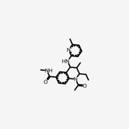 CCC1C(C)C(Nc2cccc(C)n2)c2cc(C(=O)NC)ccc2N1C(C)=O